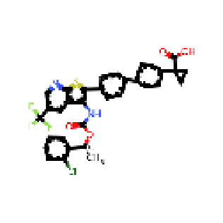 C[C@@H](OC(=O)Nc1c(-c2ccc(-c3ccc(C4(C(=O)O)CC4)cc3)cc2)sc2ncc(C(F)(F)F)cc12)c1ccccc1Cl